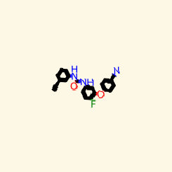 C#Cc1cccc(NC(=O)Nc2ccc(F)c(Oc3ccc(C#N)cc3)c2)c1